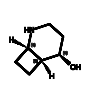 O[C@@H]1CCN[C@@H]2CC[C@H]12